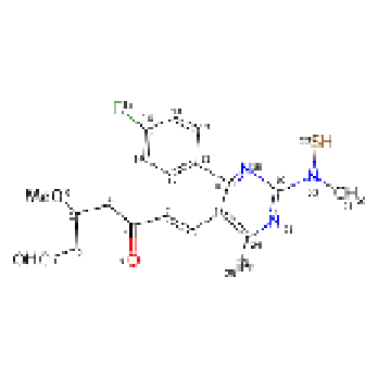 COC(CC=O)CC(=O)/C=C/c1c(-c2ccc(F)cc2)nc(N(C)S)nc1C(C)C